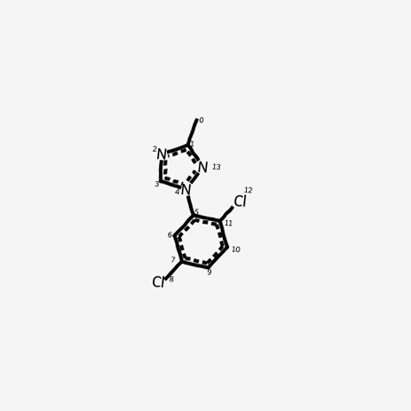 Cc1ncn(-c2cc(Cl)ccc2Cl)n1